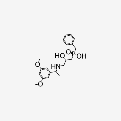 COc1cc(OC)cc(C(C)NC[C@H](O)CP(=O)(O)Cc2ccccc2)c1